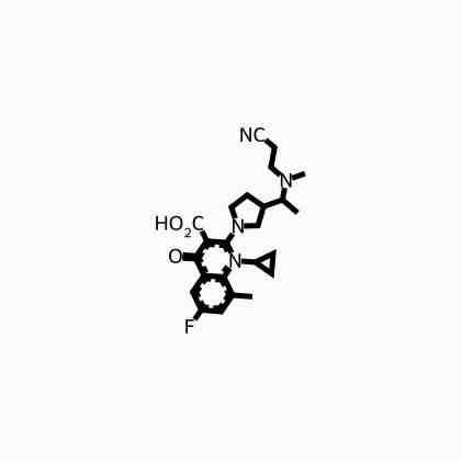 Cc1cc(F)cc2c(=O)c(C(=O)O)c(N3CCC(C(C)N(C)CCC#N)C3)n(C3CC3)c12